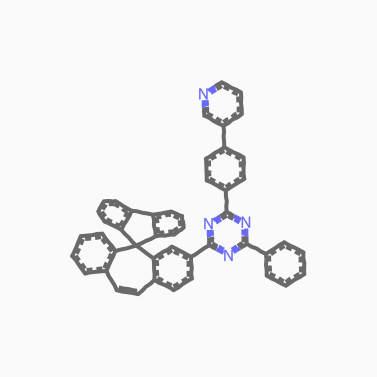 C1=Cc2ccc(-c3nc(-c4ccccc4)nc(-c4ccc(-c5cccnc5)cc4)n3)cc2C2(c3ccccc31)c1ccccc1-c1ccccc12